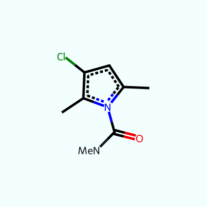 CNC(=O)n1c(C)cc(Cl)c1C